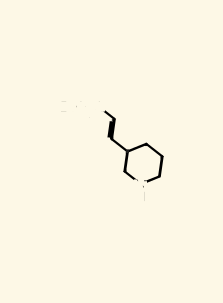 CCOC(=O)C=CC1CCCNC1